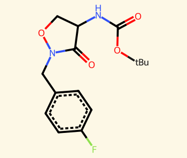 CC(C)(C)OC(=O)NC1CON(Cc2ccc(F)cc2)C1=O